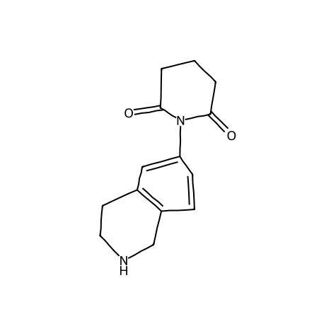 O=C1CCCC(=O)N1c1ccc2c(c1)CCNC2